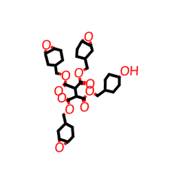 O=C(OCC1CCC(O)CC1)C(C(=O)OCC1CCC2OC2C1)C(C(=O)OCC1CCC2OC2C1)C(=O)OCC1CCC2OC2C1